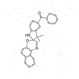 CC1(C)c2cc(C(=O)c3ccccc3)ccc2NC12C=Nc1c(ccc3ccccc13)O2